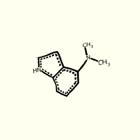 CN(C)c1cccc2[nH][c]cc12